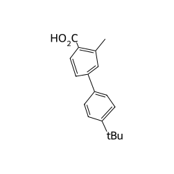 Cc1cc(-c2ccc(C(C)(C)C)cc2)ccc1C(=O)O